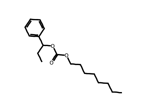 CCCCCCCCOC(=O)OC(CC)c1ccccc1